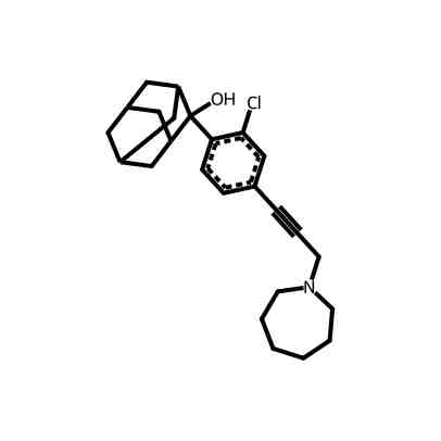 OC1(c2ccc(C#CCN3CCCCCC3)cc2Cl)C2CC3CC(C2)CC1C3